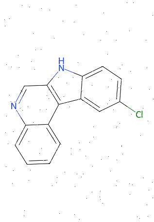 Clc1ccc2[nH]c3cnc4ccccc4c3c2c1